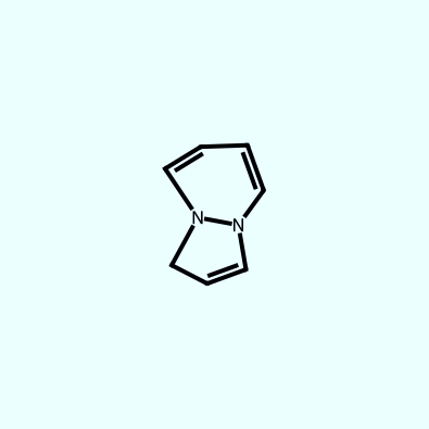 C1=CN2C=CCN2C=C1